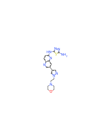 Nc1nnc(Nc2ccc3ncc(-c4cnn(CCN5CCOCC5)c4)cc3n2)s1